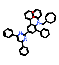 c1ccc(-c2cc(-c3ccccc3)nc(-c3cc(C4=CCCC=C4)c(N(CC4C=CCC=CC4)c4ccccc4)c(-c4ccccc4)c3)n2)cc#1